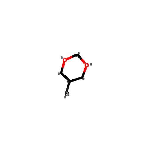 CCC1COCOC1